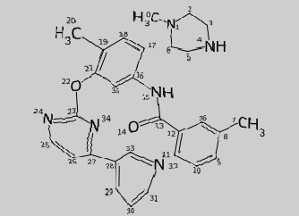 CN1CCNCC1.Cc1cccc(C(=O)Nc2ccc(C)c(Oc3nccc(-c4cccnc4)n3)c2)c1